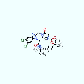 CC(C)(C)NC(=O)Cn1c(CN2CCN(C(=O)OC(C)(C)C)CC2=O)nc2cc(Cl)c(Cl)cc21